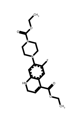 CCOC(=O)C1=CCNc2cc(N3CCN(C(=O)OCC)CC3)c(F)cc21